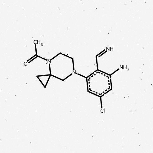 CC(=O)N1CCN(c2cc(Cl)cc(N)c2C=N)CC12CC2